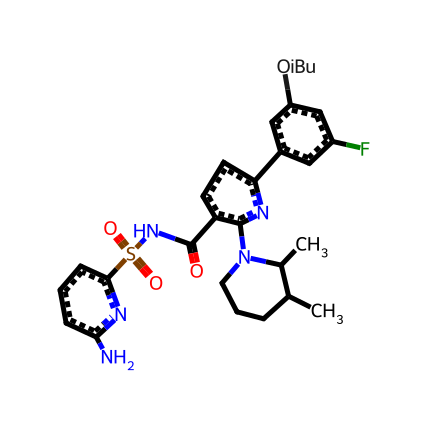 CC(C)COc1cc(F)cc(-c2ccc(C(=O)NS(=O)(=O)c3cccc(N)n3)c(N3CCCC(C)C3C)n2)c1